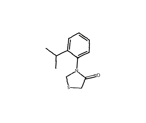 CC(C)c1ccccc1N1CSCC1=O